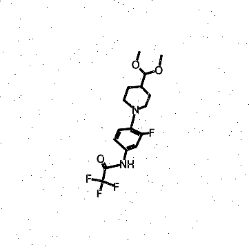 COC(OC)C1CCN(c2ccc(NC(=O)C(F)(F)F)cc2F)CC1